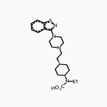 CCN(C(=O)O)[C@H]1CC[C@@H](CCN2CCN(c3nsc4ccccc34)CC2)CC1